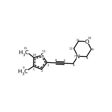 Cc1cc(C#CCN2CCOCC2)sc1C